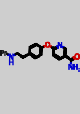 CC(C)NCCc1ccc(Oc2ccc(C(N)=O)cn2)cc1